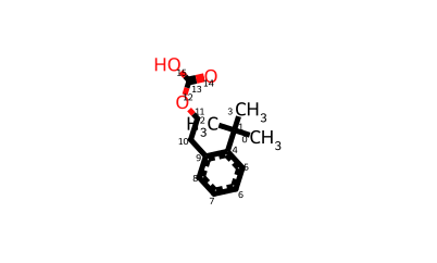 CC(C)(C)c1ccccc1CCOC(=O)O